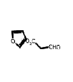 O=CCC(=O)O.c1ccoc1